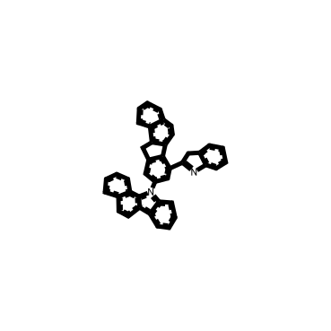 c1ccc2c(c1)CC(c1cc(-n3c4ccccc4c4ccc5ccccc5c43)cc3c1-c1ccc4ccccc4c1C3)=N2